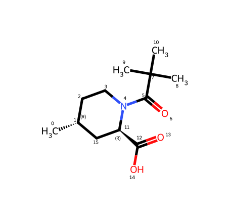 C[C@@H]1CCN(C(=O)C(C)(C)C)[C@@H](C(=O)O)C1